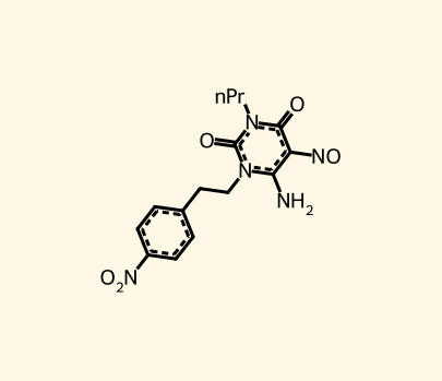 CCCn1c(=O)c(N=O)c(N)n(CCc2ccc([N+](=O)[O-])cc2)c1=O